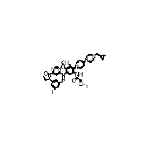 C=CC(=O)Nc1cc(Nc2cc(N3OCC[C@@H]3c3cc(F)cc(F)c3)ncn2)c(OC)cc1N1CCC(N2CCN(CC3CC3)CC2)CC1